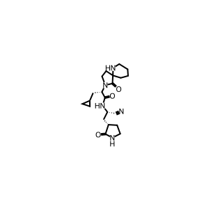 N#C[C@H](C[C@@H]1CCNC1=O)NC(=O)[C@H](CC1CC1)N1CCC2(CCCCN2)C1=O